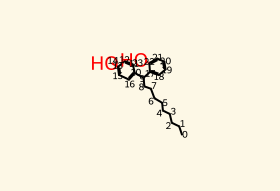 CCCCCCCCCC(c1ccc(O)cc1)c1ccccc1O